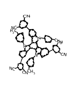 Cc1ccc(-n2c3ccc(-c4cc(C#N)cc(C#N)c4)cc3c3c2c2c4cc(-c5cc(C#N)cc(C#N)c5)ccc4n(-c4ccc(C)cc4)c2c2c4cc(-c5cc(C#N)cc(C#N)c5)ccc4n(-c4ccc(C)cc4)c32)cc1